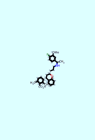 COc1cc([C@@H](C)NCCC[C@H]2C[C@@H](c3ccc(C)c(C(=O)O)c3C)c3ccccc3O2)ccc1F